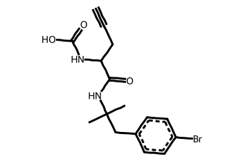 C#CCC(NC(=O)O)C(=O)NC(C)(C)Cc1ccc(Br)cc1